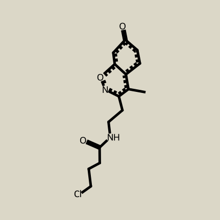 Cc1c2ccc(=O)cc-2onc1CCNC(=O)CCCCl